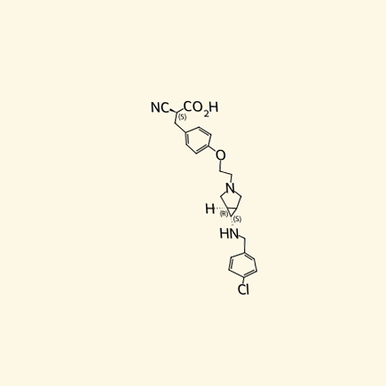 N#C[C@H](Cc1ccc(OCCN2CC3[C@H](C2)[C@H]3NCc2ccc(Cl)cc2)cc1)C(=O)O